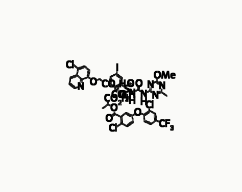 COc1nc(C)nc(NC(=O)NS(=O)(=O)c2cc(I)ccc2C(=O)O)n1.C[C@H](OC(=O)c1cc(Oc2ccc(C(F)(F)F)cc2Cl)ccc1Cl)C(=O)O.O=C(O)COc1ccc(Cl)c2cccnc12